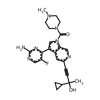 CN1CCN(C(=O)n2cc(-c3nc(N)ncc3F)c3cc(C#CC(C)(O)C4CC4)ncc32)CC1